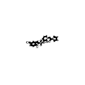 O=C(CN1CCCC(NS(=O)(=O)c2cc3cc(Cl)ccc3[nH]2)C1=O)N1CCCC1